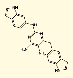 Nc1nc(Nc2ccc3cc[nH]c3c2)nc(Cc2ccc3[nH]ccc3c2)c1N